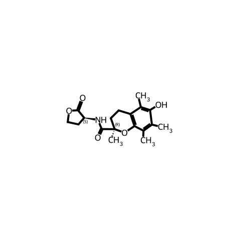 Cc1c(C)c2c(c(C)c1O)CC[C@](C)(C(=O)N[C@H]1CCOC1=O)O2